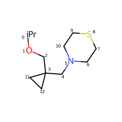 CC(C)OCC1(CN2CCSCC2)CC1